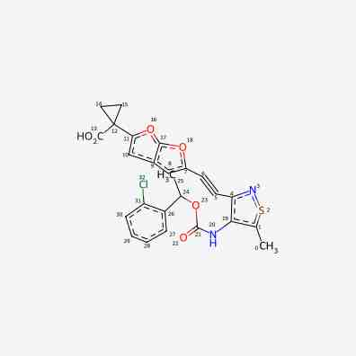 Cc1snc(C#Cc2cc3cc(C4(C(=O)O)CC4)oc3o2)c1NC(=O)OC(C)c1ccccc1Cl